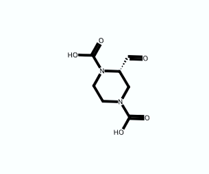 O=C[C@@H]1CN(C(=O)O)CCN1C(=O)O